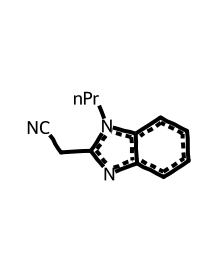 CCCn1c(CC#N)nc2ccccc21